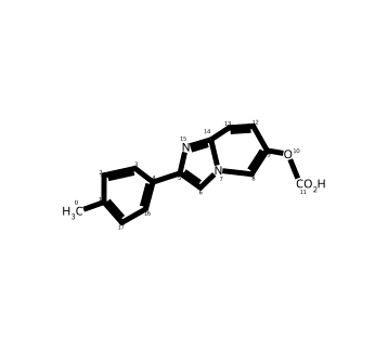 Cc1ccc(-c2cn3cc(OC(=O)O)ccc3n2)cc1